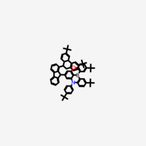 CC(C)(C)C1=CC2c3cc(C(C)(C)C)ccc3CC(c3cccc4c3C(c3cc5c6c(c3)N(c3ccc(C(C)(C)C)cc3)c3ccc(C(C)(C)C)cc3B6c3cc(C(C)(C)C)ccc3O5)c3ccccc3-4)C2C=C1